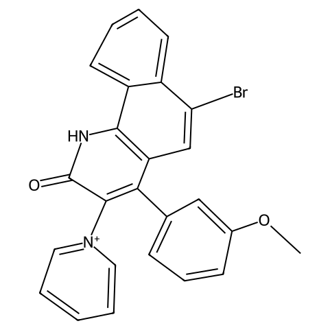 COc1cccc(-c2c(-[n+]3ccccc3)c(=O)[nH]c3c2cc(Br)c2ccccc23)c1